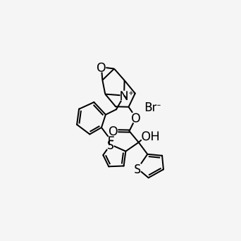 C[N+]1(Cc2ccccc2F)C2CC(OC(=O)C(O)(c3cccs3)c3cccs3)CC1C1OC12.[Br-]